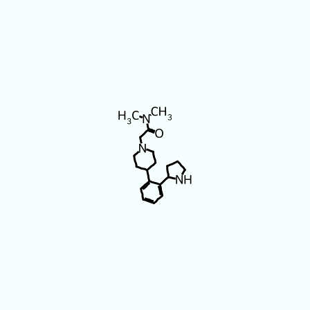 CN(C)C(=O)CN1CCC(c2ccccc2C2CCCN2)CC1